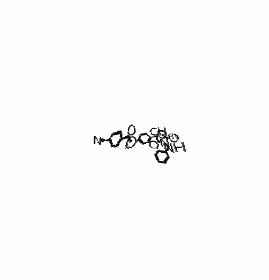 CC1(c2ccc(OC(=O)c3ccc(C#N)cc3)cc2)OC(=O)N(Nc2ccccc2)C1=O